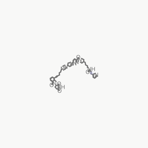 O=C(/C=C/c1cccnc1)NCCCCC1CCN(C(=O)c2ccc(N3CCC(N4CCN(CCCCC#Cc5cccc6c5CN(C5CCC(=O)NC5=O)C6=O)CC4)CC3)nn2)CC1